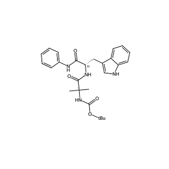 CC(C)(C)OC(=O)NC(C)(C)C(=O)N[C@@H](Cc1c[nH]c2ccccc12)C(=O)Nc1ccccc1